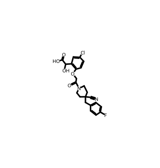 N#CC1(Cc2ccc(F)cc2)CCN(C(=O)COc2ccc(Cl)cc2C(O)C(=O)O)CC1